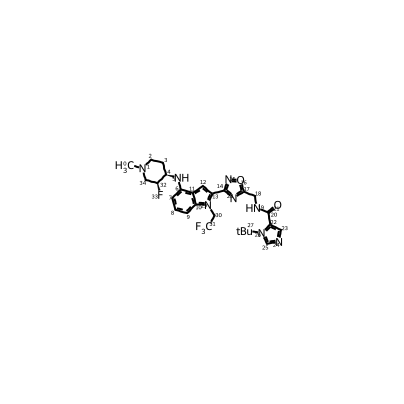 CN1CC[C@@H](Nc2cccc3c2cc(-c2noc(CNC(=O)c4cncn4C(C)(C)C)n2)n3CC(F)(F)F)[C@@H](F)C1